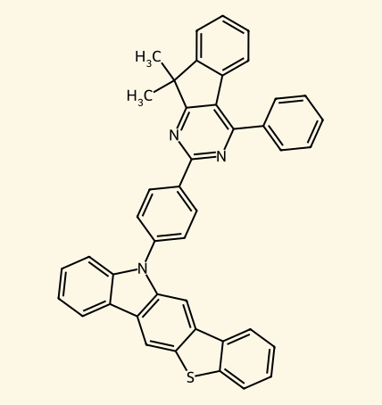 CC1(C)c2ccccc2-c2c(-c3ccccc3)nc(-c3ccc(-n4c5ccccc5c5cc6sc7ccccc7c6cc54)cc3)nc21